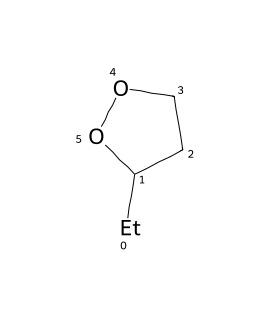 CCC1CCOO1